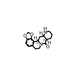 O=C1[C@H]2CCCN[C@H]2C[C@H]2c3c(ccc4c3OCO4)CCN12